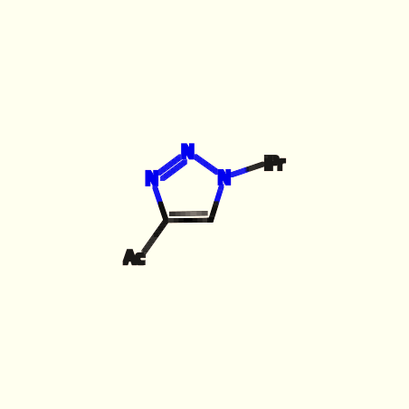 CC(=O)c1cn(C(C)C)nn1